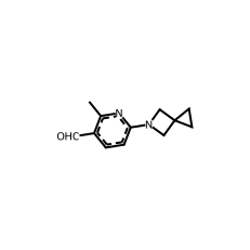 Cc1nc(N2CC3(CC3)C2)ccc1C=O